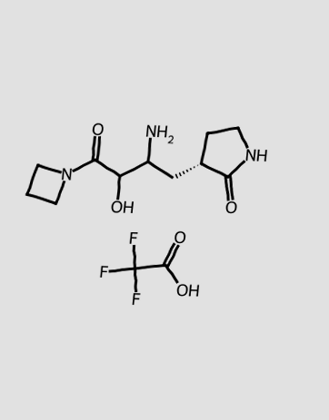 NC(C[C@@H]1CCNC1=O)C(O)C(=O)N1CCC1.O=C(O)C(F)(F)F